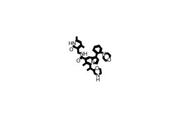 Cc1cc(C)c(CNC(=O)c2cc3c(-c4ccccc4N4CCOCC4)ccn3c(C(C)C3CNCCO3)c2C)c(=O)[nH]1